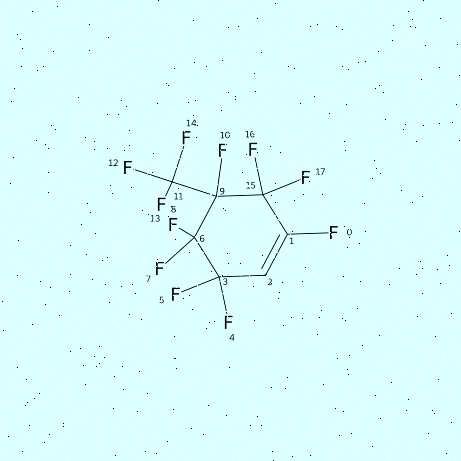 FC1=CC(F)(F)C(F)(F)C(F)(C(F)(F)F)C1(F)F